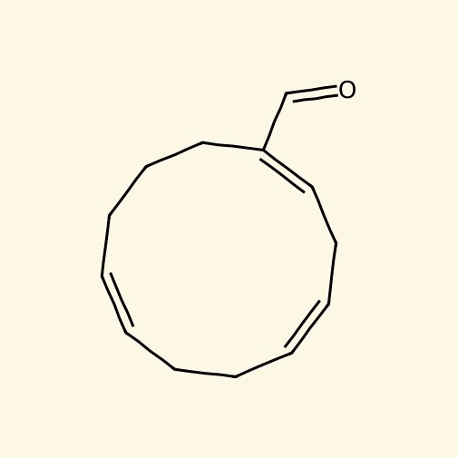 O=CC1=CCC=CCCC=CCCC1